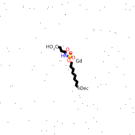 CCCCCCCCCCCCCCCCCCOS(=O)(=O)NC(=O)CCC(=O)O.[Gd]